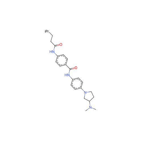 CC(C)CCC(=O)Nc1ccc(C(=O)Nc2ccc(N3CCC(N(C)C)C3)cc2)cc1